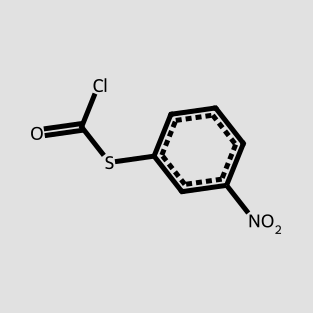 O=C(Cl)Sc1cccc([N+](=O)[O-])c1